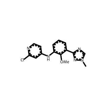 COc1c(Nc2[c]cnc(Cl)c2)cccc1-c1ncn(C)n1